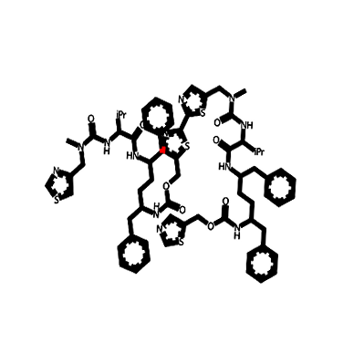 CC(C)C(NC(=O)N(C)Cc1cscn1)C(=O)NC(CCC(Cc1ccccc1)NC(=O)OCc1cnc(-c2ncc(CN(C)C(=O)NC(C(=O)NC(CCC(Cc3ccccc3)NC(=O)OCc3cncs3)Cc3ccccc3)C(C)C)s2)s1)Cc1ccccc1